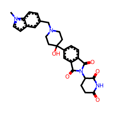 Cn1ccc2cc(CN3CCC(O)(c4ccc5c(c4)C(=O)N(C4CCC(=O)NC4=O)C5=O)CC3)ccc21